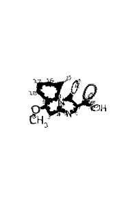 COc1cc2ncc(C(=O)O)c(=O)n2c2ccccc12